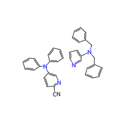 N#Cc1ccc(N(c2ccccc2)c2ccccc2)cn1.c1ccc(CN(Cc2ccccc2)c2cccnc2)cc1